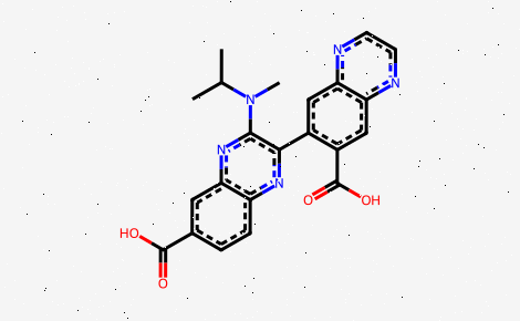 CC(C)N(C)c1nc2cc(C(=O)O)ccc2nc1-c1cc2nccnc2cc1C(=O)O